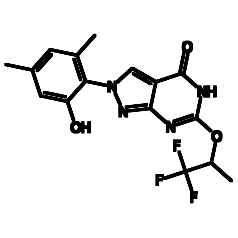 Cc1cc(C)c(-n2cc3c(=O)[nH]c(OC(C)C(F)(F)F)nc3n2)c(O)c1